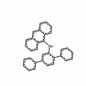 c1ccc(-c2ccc(-c3ccccc3)c(Nc3c4ccccc4cc4ccccc34)c2)cc1